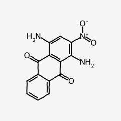 Nc1cc([N+](=O)[O-])c(N)c2c1C(=O)c1ccccc1C2=O